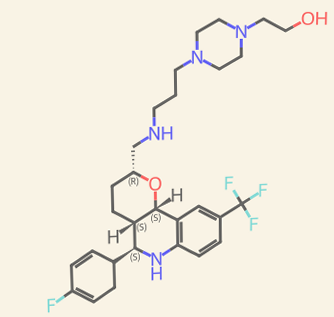 OCCN1CCN(CCCNC[C@H]2CC[C@@H]3[C@H](O2)c2cc(C(F)(F)F)ccc2N[C@H]3C2C=CC(F)=CC2)CC1